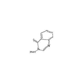 CNn1cnc2ccccc2c1=O